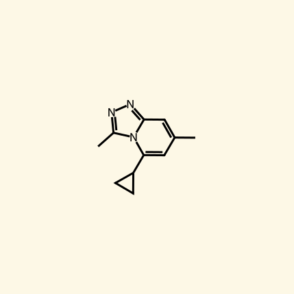 Cc1cc(C2CC2)n2c(C)nnc2c1